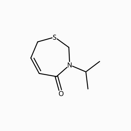 CC(C)N1CSCC=CC1=O